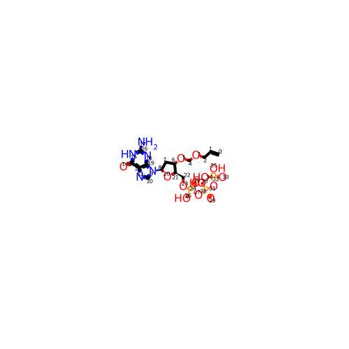 C=CCOCOC1C[C@H](n2cnc3c(=O)[nH]c(N)nc32)O[C@@H]1COP(=O)(O)OP(=O)(O)OP(=O)(O)O